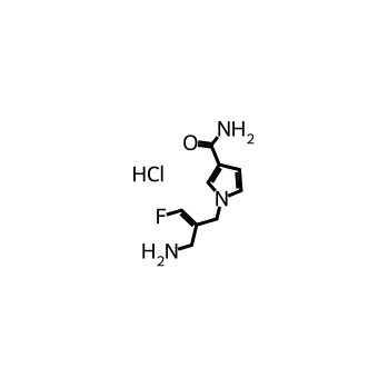 Cl.NCC(=CF)Cn1ccc(C(N)=O)c1